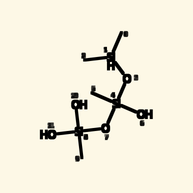 C[SiH](C)O[Si](C)(O)O[Si](C)(O)O